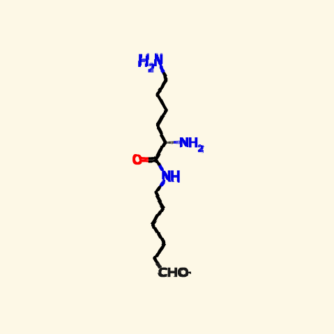 NCCCC[C@H](N)C(=O)NCCCCC[C]=O